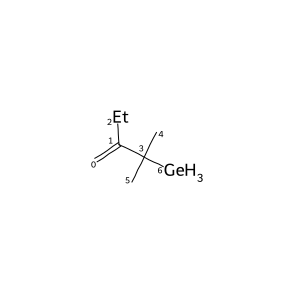 C=C(CC)[C](C)(C)[GeH3]